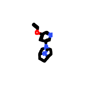 C=COc1cncc(N2CCC3CCC(C2)N3C)c1